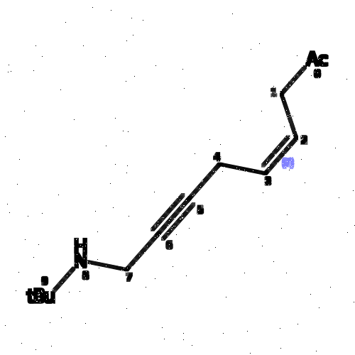 CC(=O)C/C=C\CC#CCNC(C)(C)C